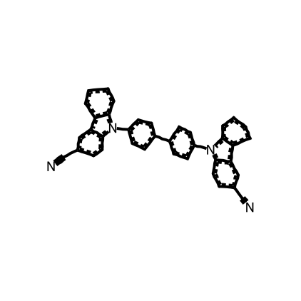 N#Cc1ccc2c(c1)c1ccccc1n2-c1ccc(-c2ccc(-n3c4ccccc4c4cc(C#N)ccc43)cc2)cc1